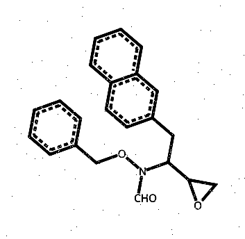 O=CN(OCc1ccccc1)C(Cc1ccc2ccccc2c1)C1CO1